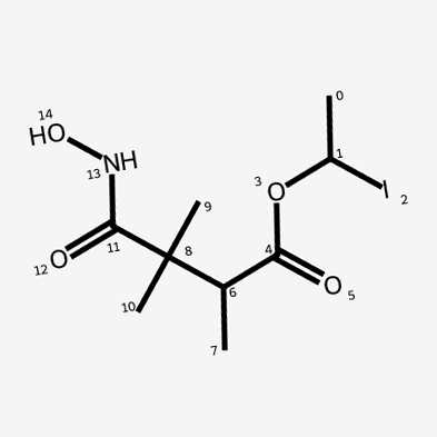 CC(I)OC(=O)C(C)C(C)(C)C(=O)NO